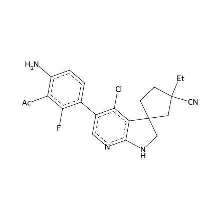 CCC1(C#N)CCC2(CNc3ncc(-c4ccc(N)c(C(C)=O)c4F)c(Cl)c32)C1